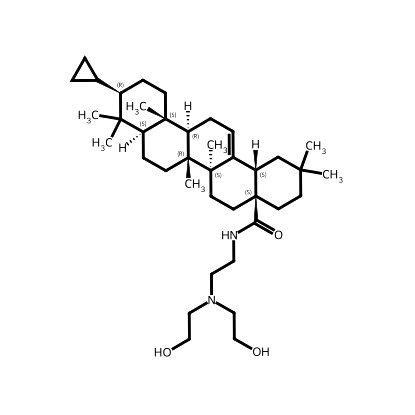 CC1(C)CC[C@]2(C(=O)NCCN(CCO)CCO)CC[C@]3(C)C(=CC[C@@H]4[C@@]5(C)CC[C@H](C6CC6)C(C)(C)[C@@H]5CC[C@]43C)[C@@H]2C1